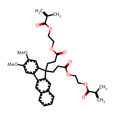 C=C(C)C(=O)OCCOC(=O)CCC1(CCC(=O)OCCOC(=O)C(=C)C)c2cc(OC)c(OC)cc2-c2cc3ccccc3cc21